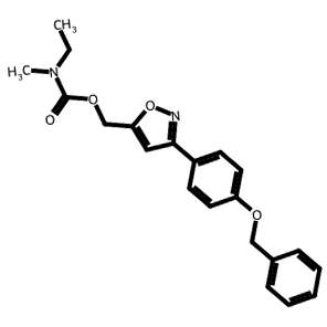 CCN(C)C(=O)OCc1cc(-c2ccc(OCc3ccccc3)cc2)no1